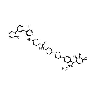 Cn1nc(C2CCC(=O)NC2=O)c2ccc(N3CCN([C@H]4CC[C@H](NC(=O)[C@H]5CC[C@H](Nc6ncc(F)c(-c7cccc(-n8ccccc8=O)c7)n6)CC5)CC4)CC3)cc21